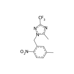 Cc1ccc([N+](=O)[O-])c(Cn2nc(C(F)(F)F)nc2C)c1